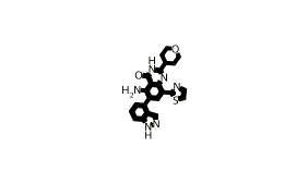 Nc1c(-c2cccc3[nH]ncc23)cc(-c2nccs2)c2nc(C3CCOCC3)[nH]c(=O)c12